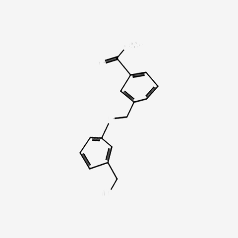 COC(=O)c1cccc(COc2cccc(CC(C)C)c2)c1